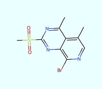 Cc1cnc(Br)c2nc(S(C)(=O)=O)nc(C)c12